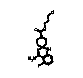 NC1=NC2(CCN(C(=O)OCCCCl)CC2)Nc2cccc(F)c21